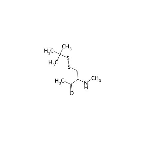 CN[C@@H](CSSC(C)(C)C)C(C)=O